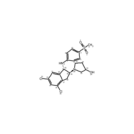 CS(=O)(=O)c1ccc(N[C@H]2c3cc(Cl)cc(Cl)c3C[C@@H]2N2CCC(O)C2)cc1